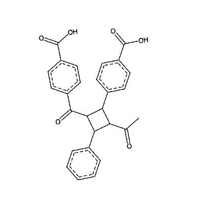 CC(=O)C1C(c2ccccc2)C(C(=O)c2ccc(C(=O)O)cc2)C1c1ccc(C(=O)O)cc1